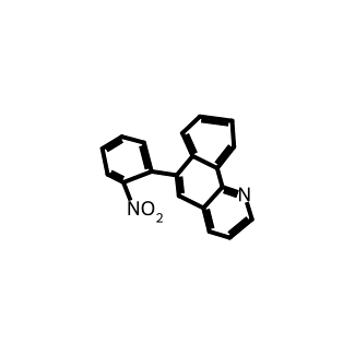 O=[N+]([O-])c1ccccc1-c1cc2cccnc2c2ccccc12